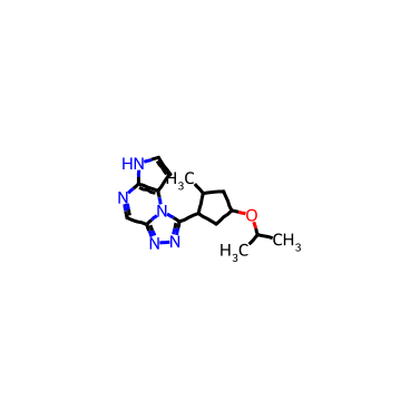 CC(C)OC1CC(C)C(c2nnc3cnc4[nH]ccc4n23)C1